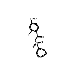 COc1ccc(C(=O)CS(=O)(=O)c2ccccc2)c(F)c1